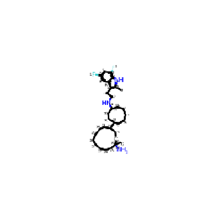 Cc1[nH]c2c(F)cc(F)cc2c1CCNC1CCCCCC(C2CCCCCCCCC(C)(N)CC2)CC1